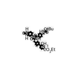 CCOC(=O)c1ccc(-c2ccc(C[C@H](NC(=O)[C@H]3CC[C@H](CNC(=O)OC(C)(C)C)CC3)C(=O)Nc3ccc4[nH]c(=O)[nH]c4c3)cc2)c(C)n1